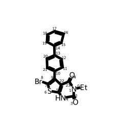 CCn1c(=O)[nH]c2sc(Br)c(-c3ccc(-c4ccccc4)cc3)c2c1=O